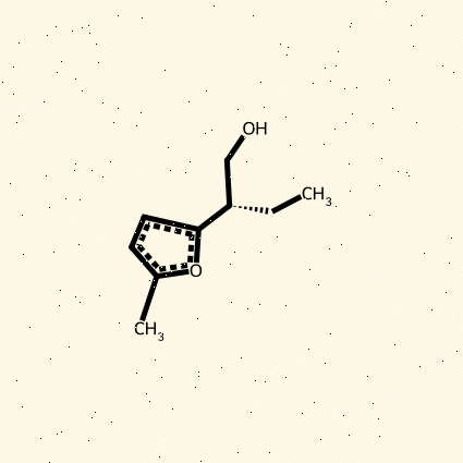 CC[C@@H](CO)c1ccc(C)o1